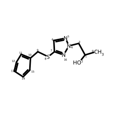 CC(O)Cn1ncc(SCc2ccccc2)n1